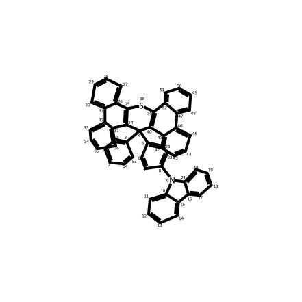 c1ccc(C2(c3ccc(-n4c5ccccc5c5ccccc54)cc3)c3c(c4ccccc4c4ccccc34)Sc3c2c2ccccc2c2ccccc32)cc1